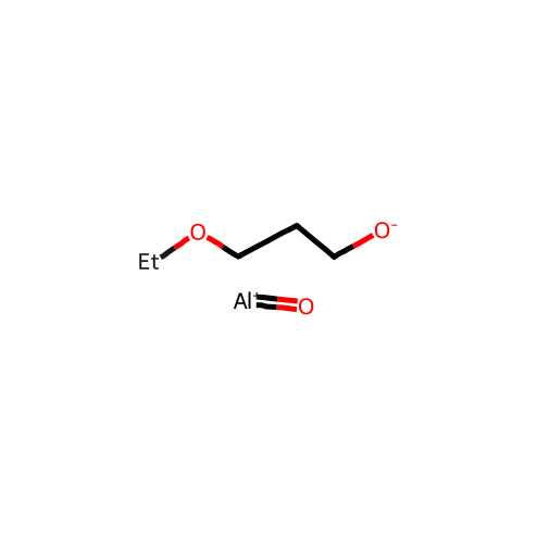 CCOCCC[O-].[O]=[Al+]